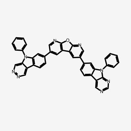 c1ccc(-n2c3cnncc3c3ccc(-c4cnc5oc6ncc(-c7ccc8c9cncnc9n(-c9ccccc9)c8c7)cc6c5c4)cc32)cc1